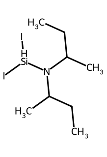 CCC(C)N(C(C)CC)[SiH](I)I